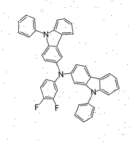 Fc1ccc(N(c2ccc3c(c2)c2ccccc2n3-c2ccccc2)c2ccc3c4ccccc4n(-c4ccccc4)c3c2)cc1F